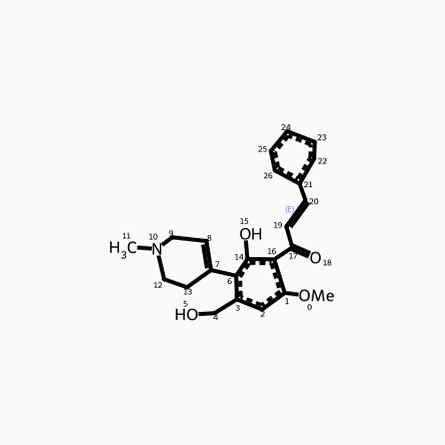 COc1cc(CO)c(C2=CCN(C)CC2)c(O)c1C(=O)/C=C/c1ccccc1